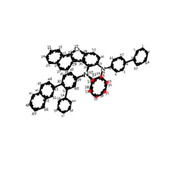 c1ccc(-c2ccc(N(c3ccccc3)c3ccc4oc5c6ccccc6ccc5c4c3N(c3ccccc3)c3ccc(-c4ccc5ccccc5c4)c(-c4ccccc4)c3)cc2)cc1